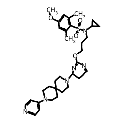 COc1cc(C)c(S(=O)(=O)N(CCCOC2=NC(N3CCC4(CCN(c5ccncc5)CC4)CC3)CC=N2)C2CC2)c(C)c1